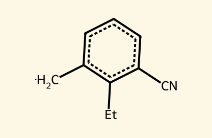 [CH2]c1cccc(C#N)c1CC